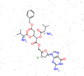 CC(C)[C@H](N)C(=O)OC(CC(=O)OCc1ccccc1)C(OC(=O)[C@@H](N)C(C)C)C(=O)OC[C@H]1O[C@@H](n2cnc3c(=O)[nH]c(N)nc32)C[C@@H]1F